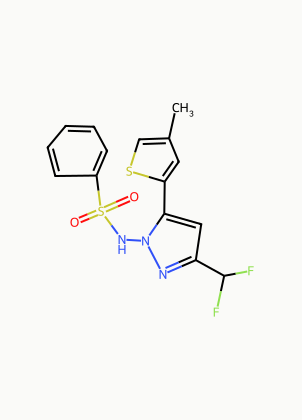 Cc1csc(-c2cc(C(F)F)nn2NS(=O)(=O)c2ccccc2)c1